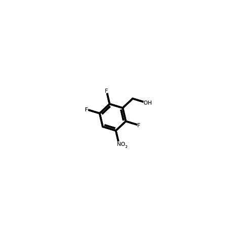 O=[N+]([O-])c1cc(F)c(F)c(CO)c1F